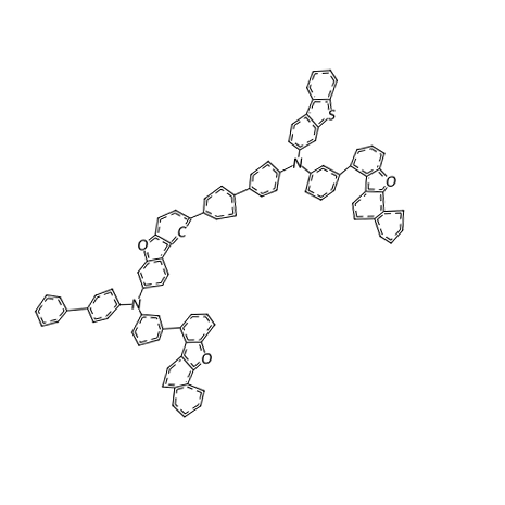 c1ccc(-c2ccc(N(c3cccc(-c4cccc5oc6c7ccccc7ccc6c45)c3)c3ccc4c(c3)oc3ccc(-c5ccc(-c6ccc(N(c7cccc(-c8cccc9oc%10c%11ccccc%11ccc%10c89)c7)c7ccc8c(c7)sc7ccccc78)cc6)cc5)cc34)cc2)cc1